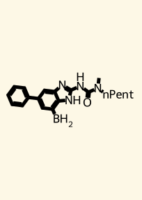 Bc1cc(-c2ccccc2)cc2nc(NC(=O)N(C)CCCCC)[nH]c12